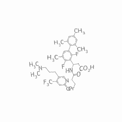 Cc1cc(C)c(-c2cc(C)c(F)c(C(CC(=O)O)NC(=O)C(CC(C)C)n3cc(CCCN(C)C)c(C(F)(F)F)cc3=O)c2F)c(C)c1